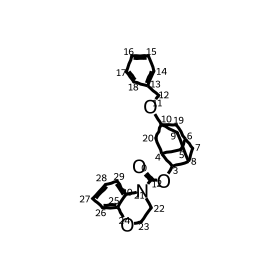 O=C(OC1C2CC3CC1CC(OCc1ccccc1)(C3)C2)N1CCOc2ccccc21